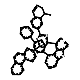 CC1CC=Cc2ccc(-c3nc(-c4ccc5c(ccc6ccccc65)c4)nc(-c4cccc5oc6cccc(-c7ccc(-c8ccccc8)cc7)c6c45)n3)cc21